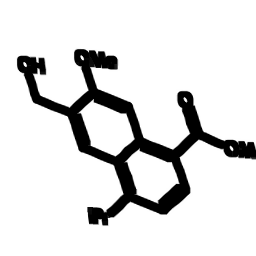 COC(=O)c1ccc(C(C)C)c2cc(CO)c(OC)cc12